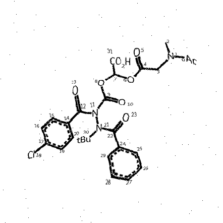 CC(=O)N(C)CC(=O)OC(OC(=O)N(C(=O)c1ccc(Cl)cc1)N(C(=O)c1ccccc1)C(C)(C)C)C(=O)O